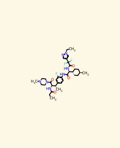 CCC(=O)N[C@@H](C(=O)N1CCN(C)CC1)[C@@H](C)c1ccc(NC(=O)[C@@H](NC(=O)C(F)(F)c2cnn(CC)c2)[C@H]2CC[C@H](C)CC2)c(F)c1